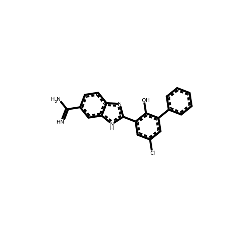 N=C(N)c1ccc2nc(-c3cc(Cl)cc(-c4ccccc4)c3O)[nH]c2c1